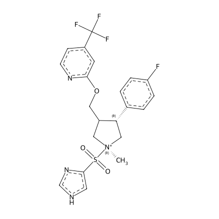 C[N@+]1(S(=O)(=O)c2c[nH]cn2)CC(COc2cc(C(F)(F)F)ccn2)[C@H](c2ccc(F)cc2)C1